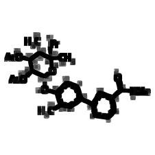 CNC(=O)c1cccc(-c2ccc(O[C@H]3O[C@](C)(C(C)C)[C@@H](C)[C@H](OC(C)=O)[C@@H]3OC(C)=O)c(C)c2)c1